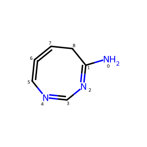 N/C1=N/C=N\C=C=CC1